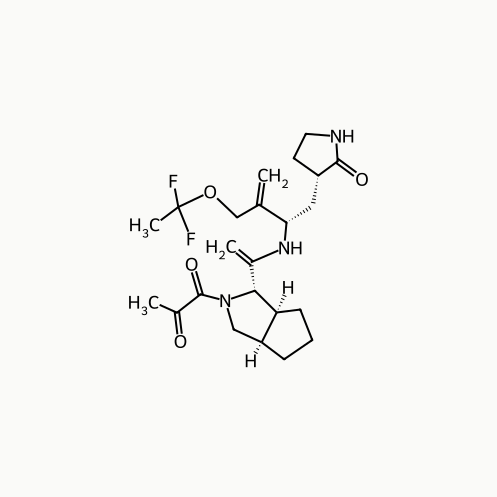 C=C(COC(C)(F)F)[C@H](C[C@@H]1CCNC1=O)NC(=C)[C@@H]1[C@H]2CCC[C@H]2CN1C(=O)C(C)=O